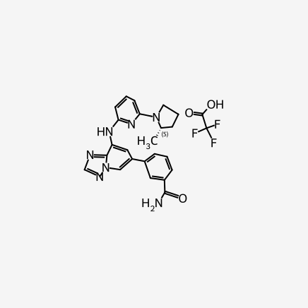 C[C@H]1CCCN1c1cccc(Nc2cc(-c3cccc(C(N)=O)c3)cn3ncnc23)n1.O=C(O)C(F)(F)F